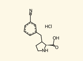 Cl.N#Cc1cccc(CC2CCN[C@@H]2C(=O)O)c1